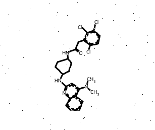 CN(C)c1cc(NC2CCC(NC(=O)Cc3c(Cl)ccc(Cl)c3Cl)CC2)nc2ccccc12